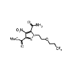 COC(=O)c1nn(CCOCCC(F)(F)F)c(C(N)=O)c1[N+](=O)[O-]